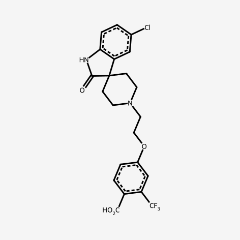 O=C(O)c1ccc(OCCN2CCC3(CC2)C(=O)Nc2ccc(Cl)cc23)cc1C(F)(F)F